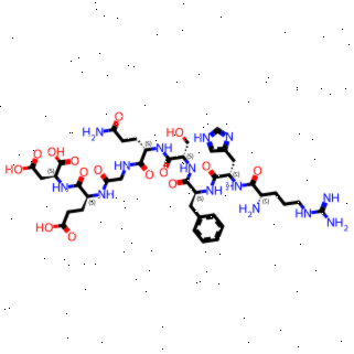 N=C(N)NCCC[C@H](N)C(=O)N[C@@H](Cc1c[nH]cn1)C(=O)N[C@@H](Cc1ccccc1)C(=O)N[C@@H](CO)C(=O)N[C@@H](CCC(N)=O)C(=O)NCC(=O)N[C@@H](CCC(=O)O)C(=O)N[C@@H](CC(=O)O)C(=O)O